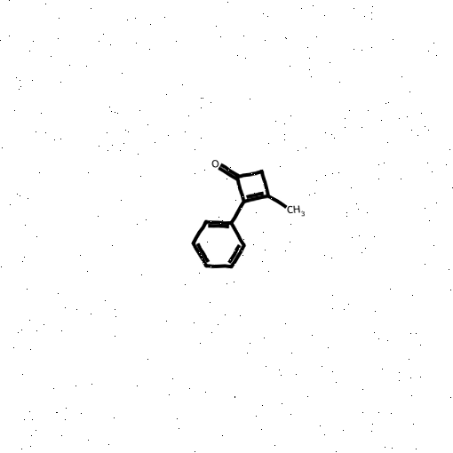 CC1=C(c2ccccc2)C(=O)C1